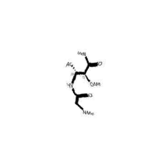 CNCC(=O)N[C@H](C(C)=O)[C@H](OC)C(=O)NC